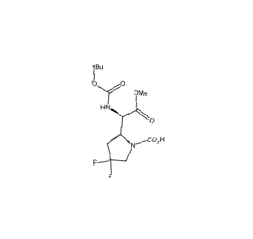 COC(=O)[C@H](NC(=O)OC(C)(C)C)C1CC(F)(F)CN1C(=O)O